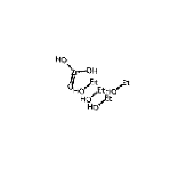 CCO.CCO.CCO.CCO.[O]=[Zr]([OH])[OH]